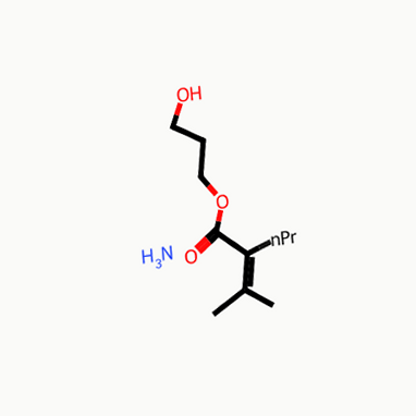 CCCC(C(=O)OCCCO)=C(C)C.N